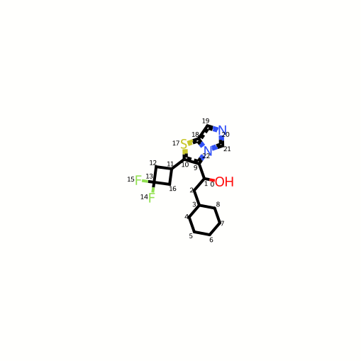 OC(CC1CCCCC1)c1c(C2CC(F)(F)C2)sc2cncn12